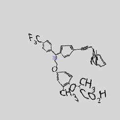 Cc1cc(OC/C=C(\c2ccc(C#CCn3cccn3)cc2)c2ccc(C(F)(F)F)cc2)ccc1OC(C)C(=O)O